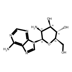 Nc1ncnc2c1ncn2[C@@H]1O[C@H](CO)[C@@H](O)[C@H](O)[C@@H]1N